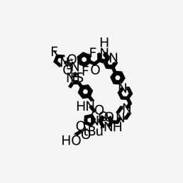 Cc1ncsc1-c1ccc(CNC(=O)[C@@H]2C[C@@H](OC(=O)CO)CN2C(=O)[C@@H](NC(=O)CN2CCN(CC3CCN(c4ccc(-c5cnc6[nH]cc(C(=O)c7c(F)ccc(NS(=O)(=O)N8CC[C@@H](F)C8)c7F)c6c5)cc4)CC3)CC2)C(C)(C)C)cc1